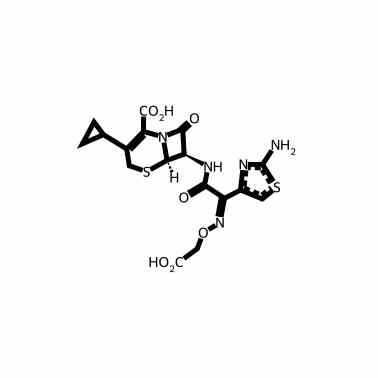 Nc1nc(/C(=N/OCC(=O)O)C(=O)N[C@@H]2C(=O)N3C(C(=O)O)=C(C4CC4)CS[C@H]23)cs1